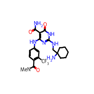 CNC(=O)c1ccc(Nc2nc(NCC3(N)CCCCC3)[nH]c(=O)c2C(N)=O)cc1C(F)(F)F